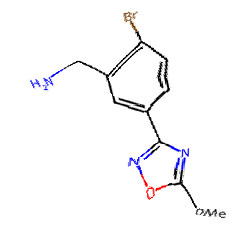 COc1nc(-c2ccc(Br)c(CN)c2)no1